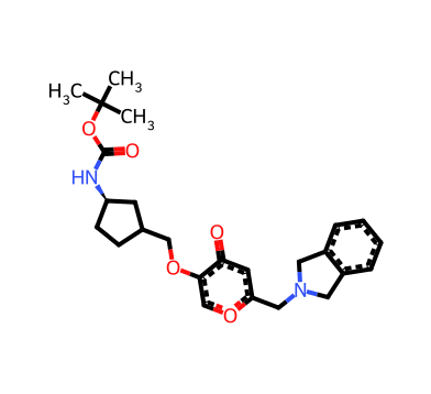 CC(C)(C)OC(=O)N[C@@H]1CCC(COc2coc(CN3Cc4ccccc4C3)cc2=O)C1